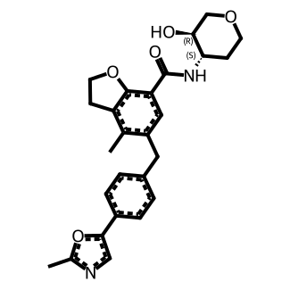 Cc1ncc(-c2ccc(Cc3cc(C(=O)N[C@H]4CCOC[C@@H]4O)c4c(c3C)CCO4)cc2)o1